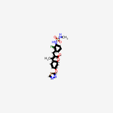 CNS(=O)(=O)Nc1cccc(Cc2c(C)c3ccc(Oc4nncs4)cc3oc2=O)c1F